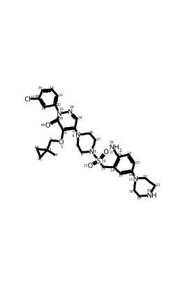 CC1(COc2c(N3CCN(S(=O)(=O)Cc4cc(N5CCNCC5)ccc4N)CC3)cnn(-c3cccc(Cl)c3)c2=O)CC1